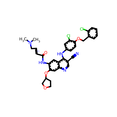 CN(C)C/C=C/C(=O)Nc1cc2c(Nc3ccc(OCc4ccccc4Cl)c(Cl)c3)c(C#N)cnc2cc1OC1CCOC1